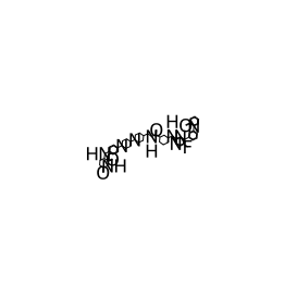 O=C1CCC(Nc2ccc(N3CCC(N4CCC(CNC(=O)C5CCCC(Nc6ncc(F)c(-c7cccc(-n8ccccc8=O)c7)n6)C5)CC4)CC3)cc2)C(=O)N1